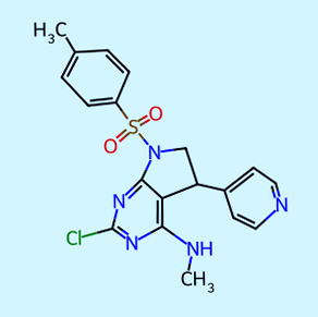 CNc1nc(Cl)nc2c1C(c1ccncc1)CN2S(=O)(=O)c1ccc(C)cc1